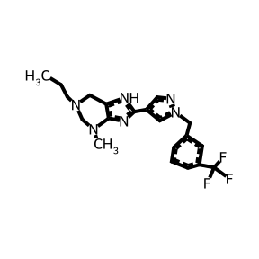 CCCN1Cc2[nH]c(-c3cnn(Cc4cccc(C(F)(F)F)c4)c3)nc2N(C)C1